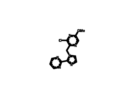 COc1cnc(Cn2ccnc2-c2ncccn2)c(Cl)n1